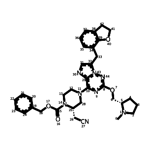 CN1CCC[C@H]1COc1nc(N2CCN(C(=O)OCc3ccccc3)[C@@H](CC#N)C2)c2ncc(Cc3cccc4c3OCC4)n2n1